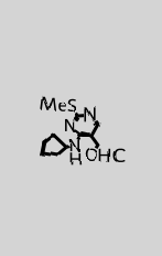 CSc1ncc(CC=O)c(NC2CCCC2)n1